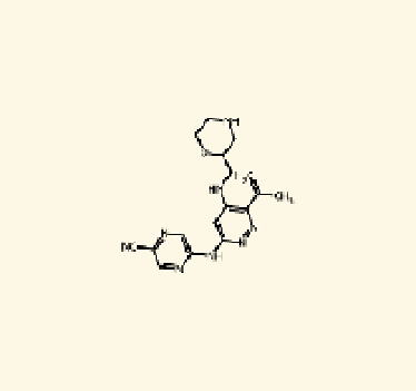 C=C(C)c1nnc(Nc2cnc(C#N)cn2)cc1NC[C@@H]1CNCCO1